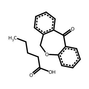 CCCCC(=O)O.O=C1c2ccccc2COc2ccccc21